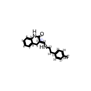 O=C1Nc2ccccc2C/C1=C\NCCc1ccc(F)cc1